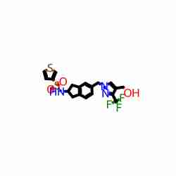 O=S(=O)(NC1Cc2ccc(Cn3cc(CO)c(C(F)(F)F)n3)cc2C1)c1ccsc1